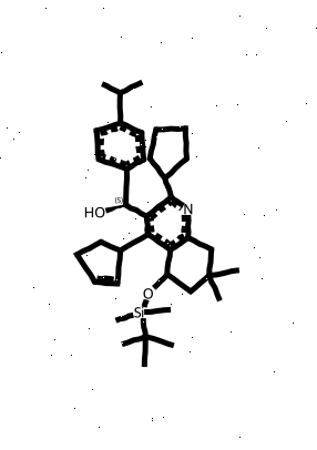 CC(C)c1ccc([C@H](O)c2c(C3CCCC3)nc3c(c2C2C=CCC2)C(O[Si](C)(C)C(C)(C)C)CC(C)(C)C3)cc1